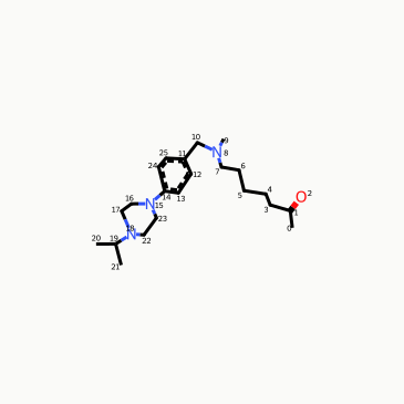 CC(=O)CCCCCN(C)Cc1ccc(N2CCN(C(C)C)CC2)cc1